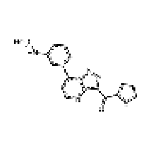 O=C(O)Nc1cccc(-c2ccnc3c(C(=O)c4cccs4)cnn23)c1